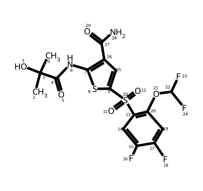 CC(C)(O)C(=O)Nc1sc(S(=O)(=O)c2cc(F)c(F)cc2OC(F)F)cc1C(N)=O